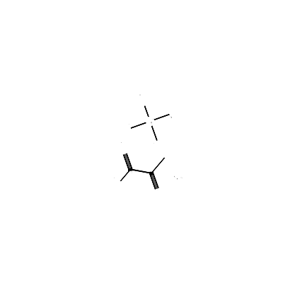 CC(=O)C(=O)O.C[Si](C)(C)[O-].[Na+]